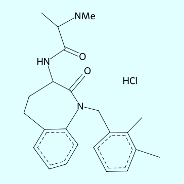 CNC(C)C(=O)NC1CCc2ccccc2N(Cc2cccc(C)c2C)C1=O.Cl